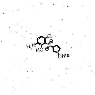 COC1CCC(S(=O)(=O)c2c(Cl)ccc(N)c2O)C1